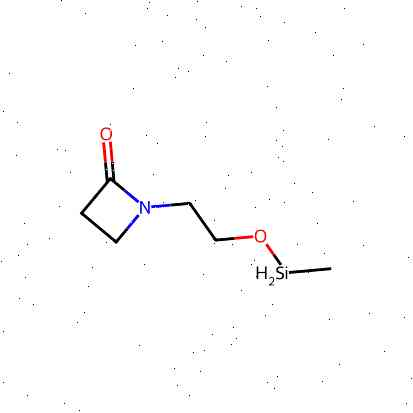 C[SiH2]OCCN1CCC1=O